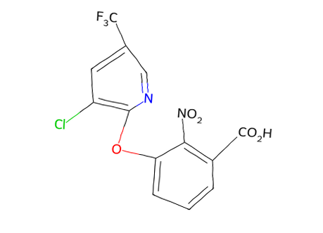 O=C(O)c1cccc(Oc2ncc(C(F)(F)F)cc2Cl)c1[N+](=O)[O-]